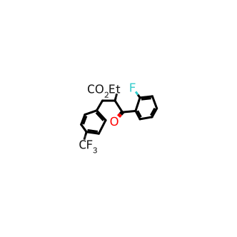 CCOC(=O)C(Cc1ccc(C(F)(F)F)cc1)C(=O)c1ccccc1F